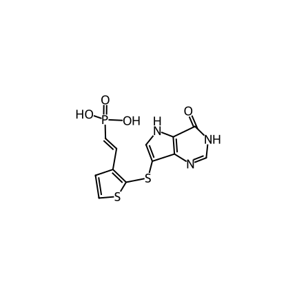 O=c1[nH]cnc2c(Sc3sccc3/C=C/P(=O)(O)O)c[nH]c12